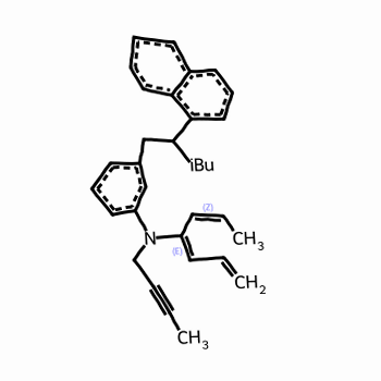 C=C/C=C(\C=C/C)N(CC#CC)c1cccc(CC(c2cccc3ccccc23)C(C)CC)c1